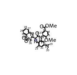 COC(=O)c1ccc(OC)c(NC(=O)/C(=N\c2ccc(N(C)C)cc2C)C2=Nc3ccccc3S(=O)(=O)N2C)c1